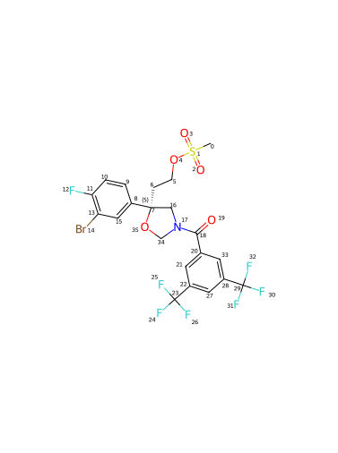 CS(=O)(=O)OCC[C@]1(c2ccc(F)c(Br)c2)CN(C(=O)c2cc(C(F)(F)F)cc(C(F)(F)F)c2)CO1